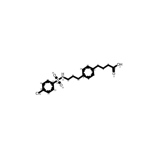 O=C(O)CCCc1ccc(CCCNS(=O)(=O)c2ccc(Cl)cc2)cc1